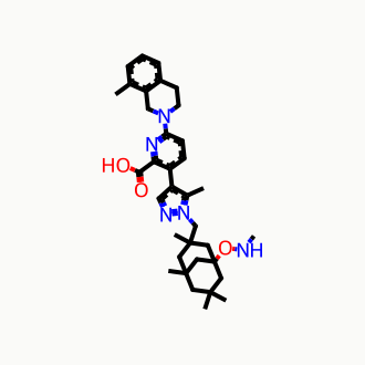 CNOC12CC(C)(C)CC(C)(CC(C)(Cn3ncc(-c4ccc(N5CCc6cccc(C)c6C5)nc4C(=O)O)c3C)C1)C2